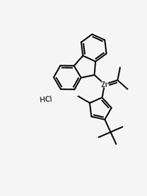 C[C](C)=[Zr]([C]1=CC(C(C)(C)C)=CC1C)[CH]1c2ccccc2-c2ccccc21.Cl